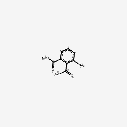 COC(=O)c1cccc([N+](=O)[O-])c1C(=O)OC